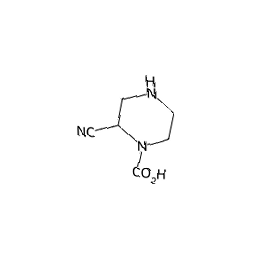 N#CC1CNCCN1C(=O)O